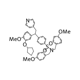 COc1ccc(CN(Cc2ccc(OC)cc2)S(=O)(=O)c2ccc(C(Cc3ccncc3)c3ccc(OC)c(OC4CCCC4)c3)cc2)cc1